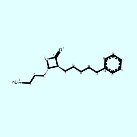 CCCCCCCCCCCCC[C@@H]1OC(=O)[C@H]1CCCCCc1ccccc1